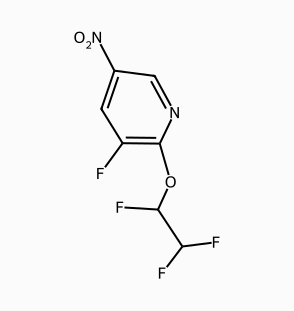 O=[N+]([O-])c1cnc(OC(F)C(F)F)c(F)c1